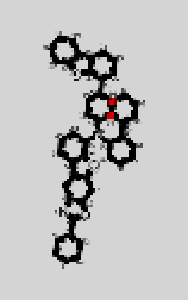 c1ccc(-c2nc3cc4c(cc3o2)oc2c(N(c3ccc(-c5cccc6c5sc5ccccc56)cc3)c3ccccc3-c3ccccc3)cccc24)cc1